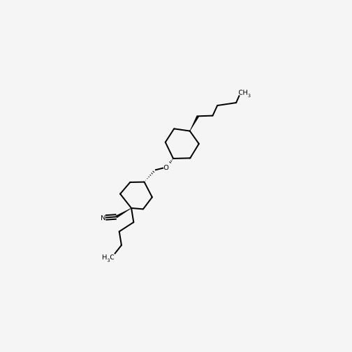 CCCCC[C@H]1CC[C@H](OC[C@H]2CC[C@@](C#N)(CCCC)CC2)CC1